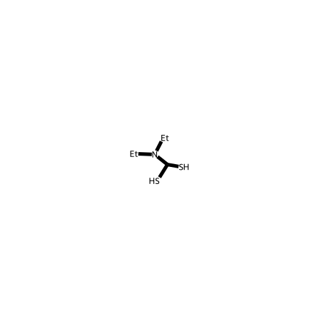 CCN(CC)C(S)S